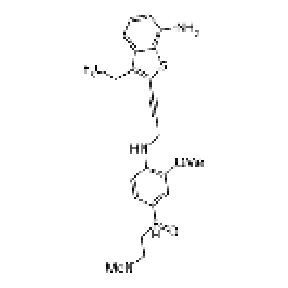 CNCC[PH](=O)c1ccc(NCC#Cc2sc3c(N)cccc3c2CC(F)(F)F)c(OC)c1